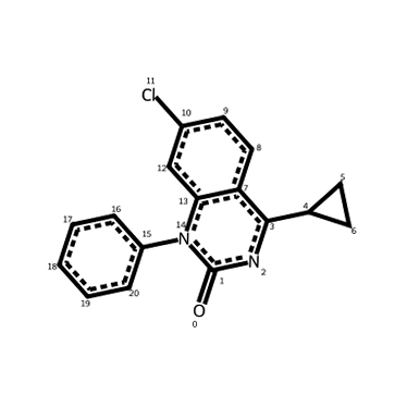 O=c1nc(C2CC2)c2ccc(Cl)cc2n1-c1ccccc1